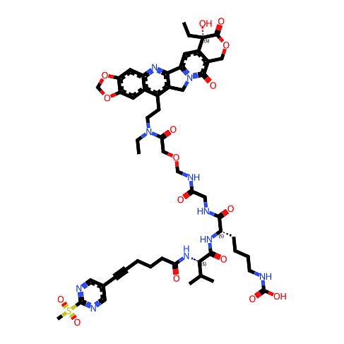 CCN(CCc1c2c(nc3cc4c(cc13)OCO4)-c1cc3c(c(=O)n1C2)COC(=O)[C@]3(O)CC)C(=O)COCNC(=O)CNC(=O)[C@H](CCCCNC(=O)O)NC(=O)[C@@H](NC(=O)CCCC#Cc1cnc(S(C)(=O)=O)nc1)C(C)C